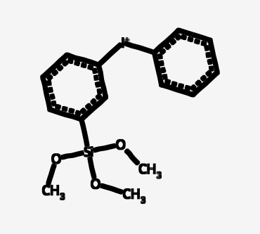 CO[Si](OC)(OC)c1cccc([I+]c2ccccc2)c1